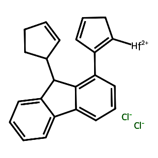 [Cl-].[Cl-].[Hf+2][C]1=C(c2cccc3c2C(C2C=CCC2)c2ccccc2-3)C=CC1